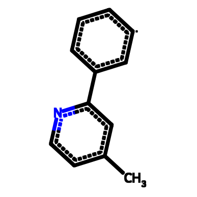 Cc1ccnc(-c2c[c]ccc2)c1